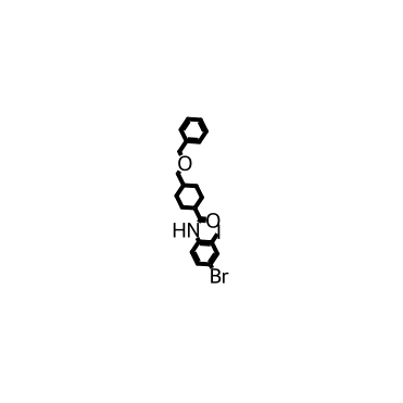 O=C(Nc1ccc(Br)cc1I)C1CCC(COCc2ccccc2)CC1